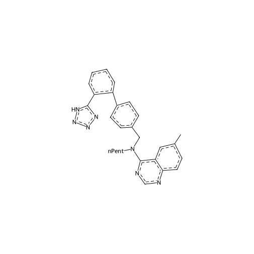 CCCCCN(Cc1ccc(-c2ccccc2-c2nnn[nH]2)cc1)c1ncnc2ccc(C)cc12